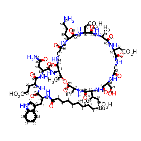 CCC(C)CCCCCCCCC(=O)NC(Cc1c[nH]c2ccccc12)C(=O)NC(CCC(=O)O)C(=O)NC(CC(N)=O)C(=O)NC1C(=O)NCC(=O)NC(CCCN)C(=O)NC(CC(=O)O)C(=O)NC(C)C(=O)NC(CC(=O)O)C(=O)NCC(=O)NC(CO)C(=O)NC(C(C)CC(=O)O)C(=O)NC(C(C)C)C(=O)OC1C